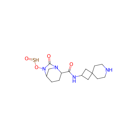 O=[SH]ON1C(=O)N2CC1CCC2C(=O)NC1CC2(CCNCC2)C1